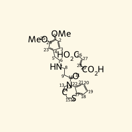 COc1ccc(CCNCCC(=O)N2CCCSc3ccccc32)cc1OC.O=C(O)/C=C/C(=O)O